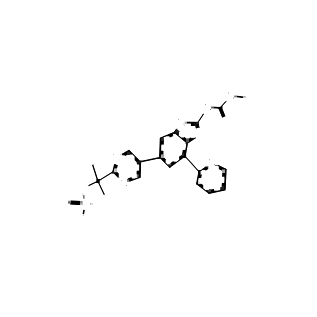 CCNC(=O)Nc1nc2cc(-c3cnc(C(C)(C)OP(=O)(O)O)nc3)cc(-c3ccccn3)c2s1